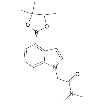 CN(C)C(=O)Cn1ccc2c(B3OC(C)(C)C(C)(C)O3)cccc21